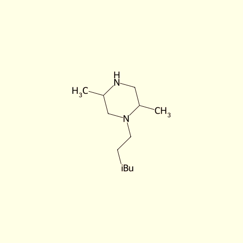 CCC(C)CCN1CC(C)NCC1C